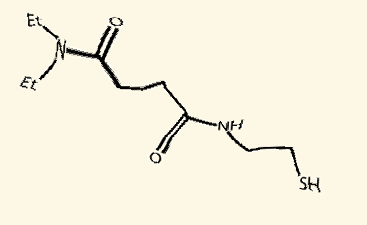 CCN(CC)C(=O)CCC(=O)NCCS